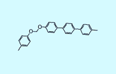 Cc1ccc(OCOc2ccc(-c3ccc(-c4ccc(C)cc4)cc3)cc2)cc1